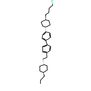 CCC[C@H]1CC[C@H](CCc2ccc(-c3ccc([C@H]4CC[C@H](CCCCF)CC4)cc3)cc2)CC1